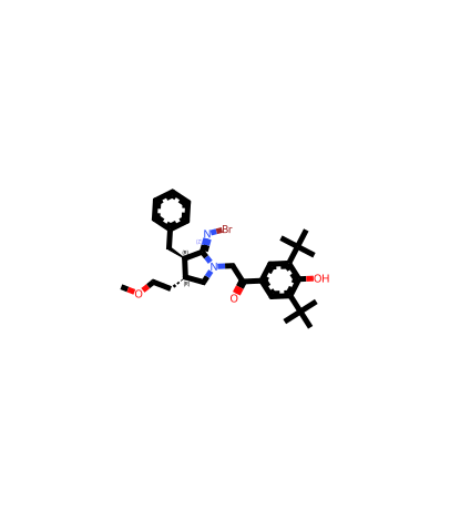 COCC[C@H]1CN(CC(=O)c2cc(C(C)(C)C)c(O)c(C(C)(C)C)c2)/C(=N\Br)[C@@H]1Cc1ccccc1